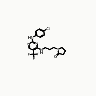 O=C1CCCN1CCCNc1nc(Nc2ccc(Cl)cc2)ncc1C(F)(F)F